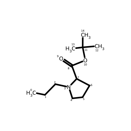 CCCN1CCCC1C(=O)OC(C)(C)C